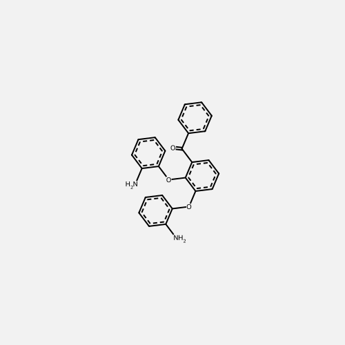 Nc1ccccc1Oc1cccc(C(=O)c2ccccc2)c1Oc1ccccc1N